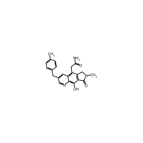 Cc1ccc(Cc2cnc3c(O)c4c(c(CC(N)=O)c3c2)CN(C)C4=O)cc1